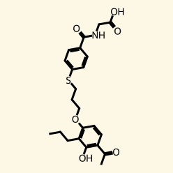 CCCc1c(OCCCSc2ccc(C(=O)NCC(=O)O)cc2)ccc(C(C)=O)c1O